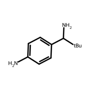 CC(C)(C)C(N)c1ccc(N)cc1